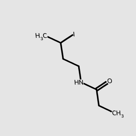 CCC(=O)NCCC(C)I